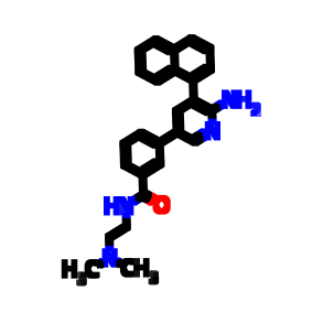 CN(C)CCNC(=O)c1cccc(-c2cnc(N)c(-c3cccc4ccccc34)c2)c1